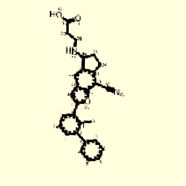 Cc1c(-c2ccccc2)cccc1-c1cc2cc3c(c(C#N)c2o1)CCC3NCCC(=O)O